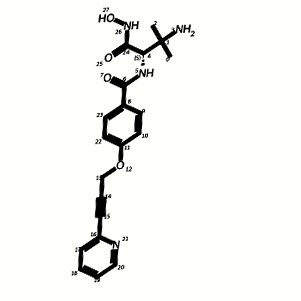 CC(C)(N)[C@H](NC(=O)c1ccc(OCC#Cc2ccccn2)cc1)C(=O)NO